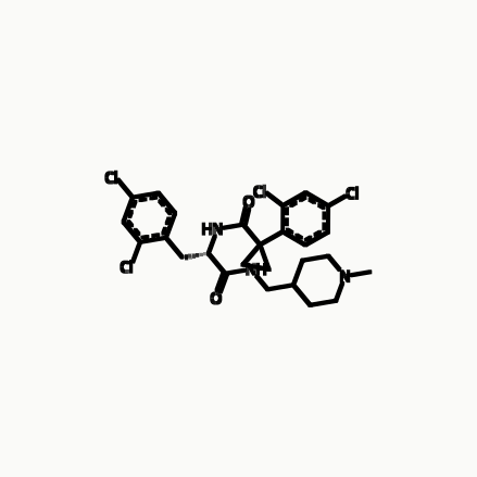 CN1CCC(CNC(=O)[C@H](Cc2ccc(Cl)cc2Cl)NC(=O)C2(c3ccc(Cl)cc3Cl)CC2)CC1